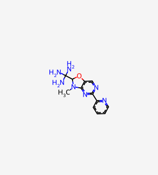 CN1c2nc(-c3ccccn3)ncc2OC1C(N)(N)N